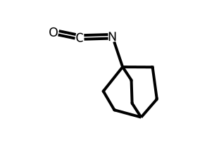 O=C=NC12CCC(CC1)CC2